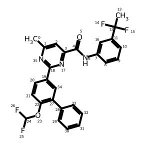 Cc1cc(C(=O)Nc2cccc(C(C)(F)F)c2)nc(-c2ccc(OC(F)F)c(-c3ccccc3)c2)n1